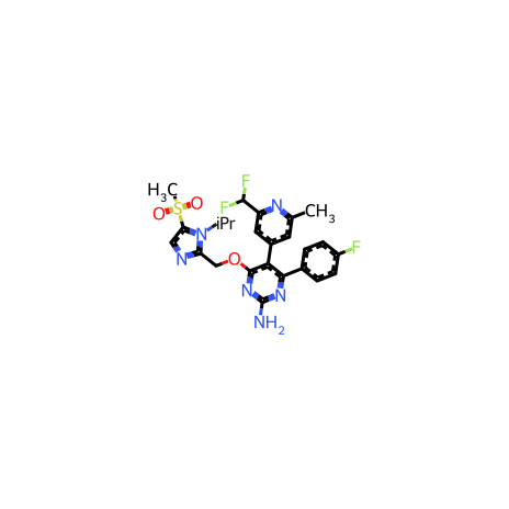 Cc1cc(-c2c(OCc3ncc(S(C)(=O)=O)n3C(C)C)nc(N)nc2-c2ccc(F)cc2)cc(C(F)F)n1